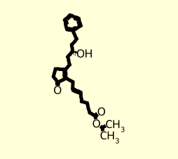 CC(C)OC(=O)CCCC=CCC1=C(CC[C@H](O)CCc2ccccc2)CCC1=O